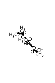 C=C(C)C(=O)OCCNC(=O)OCOC(=O)C(C)(C)CC